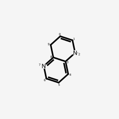 C1=C[N]c2cccnc2C1